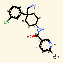 NC[C@]1(c2cccc(Cl)c2)CC[C@H](NC(=O)c2ccc(C(F)(F)F)nc2)CC1